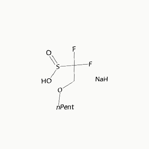 CCCCCOCC(F)(F)S(=O)O.[NaH]